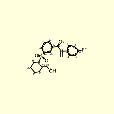 O=C(Nc1ccc(F)cc1)c1cccc(S(=O)(=O)N2CCCCC2CO)c1